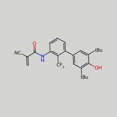 C=C(C#N)C(=O)Nc1cccc(-c2cc(C(C)(C)C)c(O)c(C(C)(C)C)c2)c1C(F)(F)F